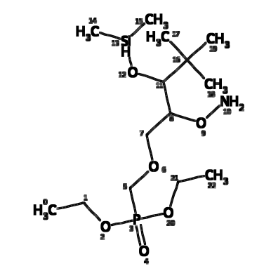 CCOP(=O)(COCC(ON)C(O[SiH](C)C)C(C)(C)C)OCC